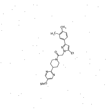 CCc1cc(-c2ccc(C)c(C)c2)nn1CC(=O)N1CCC(c2ncc(OC)cn2)CC1